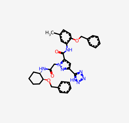 Cc1ccc(OCc2ccccc2)c(NC(=O)c2cc(-c3nnn[nH]3)nn2CC(=O)N[C@H]2CCCC[C@@H]2OCc2ccccc2)c1